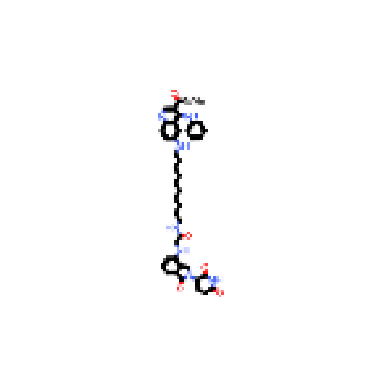 CNC(=O)c1cnc2ccc(NCCCCCCCCCCNC(=O)CNc3cccc4c3CN(C3CCC(=O)NC3=O)C4=O)cc2c1Nc1ccccc1